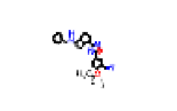 CC(C)Oc1ccc(-c2nc(-c3cccc4c3CC[C@H]4NCc3ccccc3)no2)cc1C#N